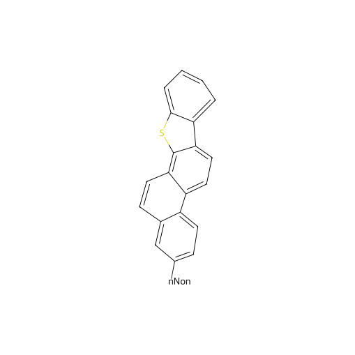 CCCCCCCCCc1ccc2c(ccc3c2ccc2c4ccccc4sc23)c1